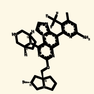 Cc1cc(N)nc(-c2cc3nc(OC[C@@]45CCCN4C[C@H](F)C5)nc(N4[C@@H]5CC[C@H]4CNC5)c3n3ccnc23)c1C(F)(F)F